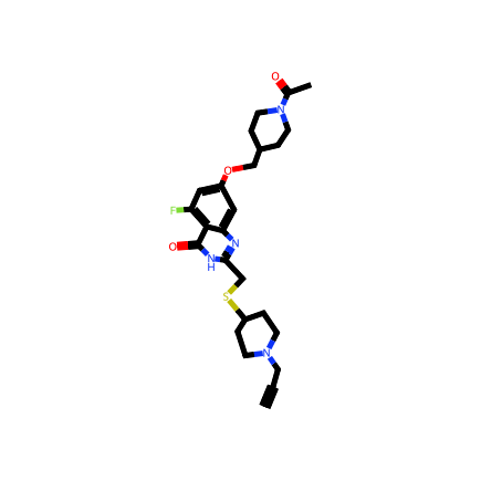 C#CCN1CCC(SCc2nc3cc(OCC4CCN(C(C)=O)CC4)cc(F)c3c(=O)[nH]2)CC1